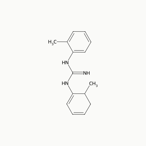 Cc1ccccc1NC(=N)NC1=CC=CCC1C